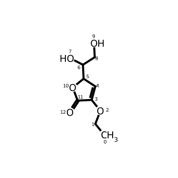 CCOC1=CC(C(O)CO)OC1=O